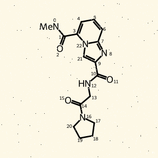 CNC(=O)c1cccc2nc(C(=O)NCC(=O)N3CCCC3)cn12